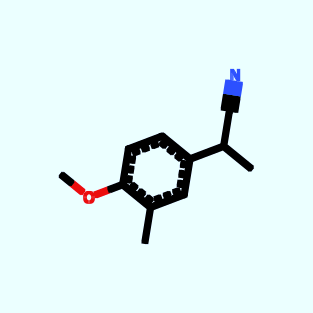 COc1ccc(C(C)C#N)cc1C